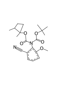 COc1cccc(C#N)c1N(C(=O)OC(C)(C)C)C(=O)OC1(C)CCC1C